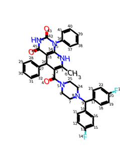 CC1=C(C(=O)N2CCN(C(c3ccc(F)cc3)c3ccc(F)cc3)CC2)C(c2ccccc2)c2c(n(-c3ccccc3)c(=O)[nH]c2=O)N1